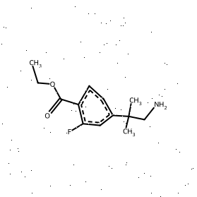 CCOC(=O)c1ccc(C(C)(C)CN)cc1F